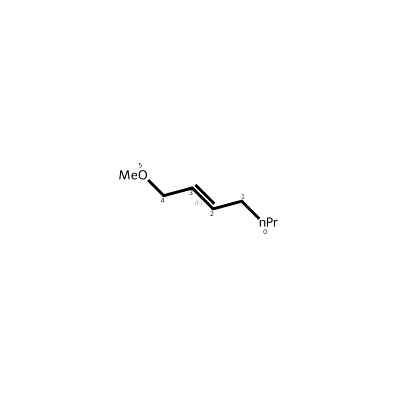 [CH2]CCC/C=C/COC